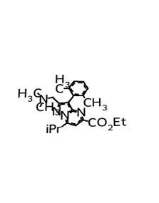 CCOC(=O)c1cc(C(C)C)n2nc(CN(C)C)c(-c3c(C)cccc3C)c2n1